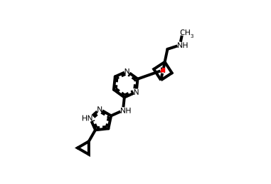 CNCC12CC(C1)N(c1nccc(Nc3cc(C4CC4)[nH]n3)n1)C2